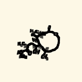 CCCCNC(=O)[C@H](C)C[C@H](O)[C@@H]1C[C@H](C)CCCCCOCC(=O)N[C@@H](C)C(=O)N1